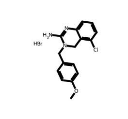 Br.COc1ccc(CN2Cc3c(Cl)cccc3N=C2N)cc1